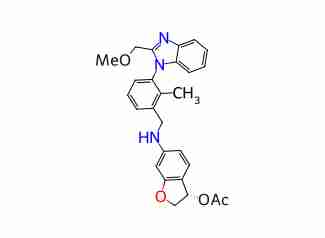 COCc1nc2ccccc2n1-c1cccc(CNc2ccc3c(c2)OC[C@H]3OC(C)=O)c1C